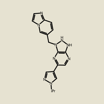 CC(C)n1cc(-c2cnc3c(n2)N(Cc2ccc4nccn4c2)NN3)cn1